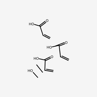 C=CC(=O)O.C=CC(=O)O.C=CC(=O)O.CC.CO